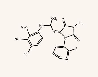 COc1c(NC(N=C2C(=O)N(C)C(=O)N2c2ccccc2F)C(Cl)(Cl)Cl)ccc(C(F)(F)F)c1C#N